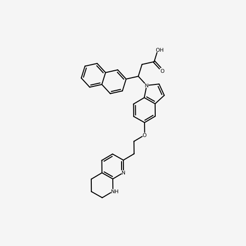 O=C(O)CC(c1ccc2ccccc2c1)n1ccc2cc(OCCc3ccc4c(n3)NCCC4)ccc21